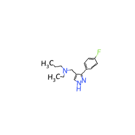 CCCN(CC)Cc1c[nH]nc1-c1ccc(F)cc1